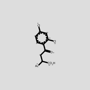 CC(=O)C(CC(=O)c1ccc(Cl)cc1Cl)C(=O)O